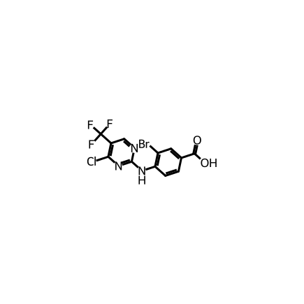 O=C(O)c1ccc(Nc2ncc(C(F)(F)F)c(Cl)n2)c(Br)c1